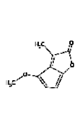 COC1=CC=C2OC(=O)C(C)=C12